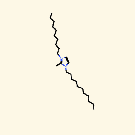 CCCCCCCCCCCn1cc[n+](CCCCCCCCCC)c1C